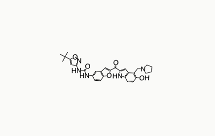 CC(C)(C)c1cc(NC(=O)Nc2ccc3oc(C(=O)c4cc5c(CN6CCCC6)c(O)ccc5[nH]4)cc3c2)no1